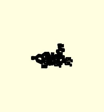 CC1(C)O[C@@H]2C[C@H]3[C@@H]4CCC5=CC(=O)C=C[C@]5(C)[C@@]4(F)[C@@H](O)C[C@]3(C)[C@]2(C(=O)COC(=O)C(C)(C)C)O1